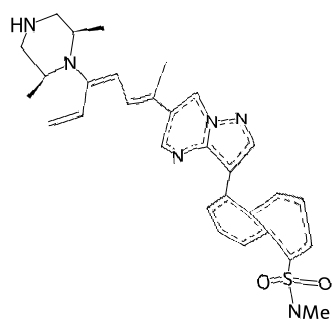 C=C/C(=C\C=C(/C)c1cnc2c(-c3cccc4c(S(=O)(=O)NC)cccc34)cnn2c1)N1[C@H](C)CNC[C@@H]1C